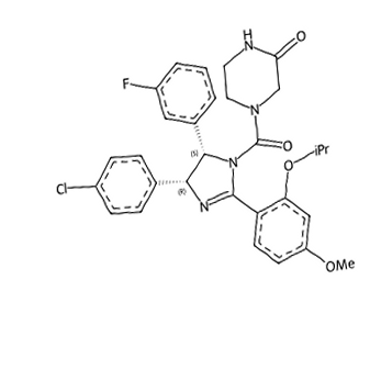 COc1ccc(C2=N[C@H](c3ccc(Cl)cc3)[C@H](c3cccc(F)c3)N2C(=O)N2CCNC(=O)C2)c(OC(C)C)c1